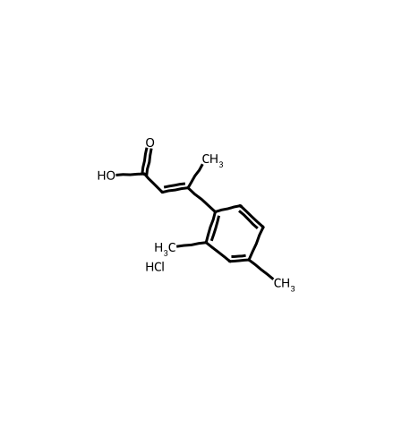 CC(=CC(=O)O)c1ccc(C)cc1C.Cl